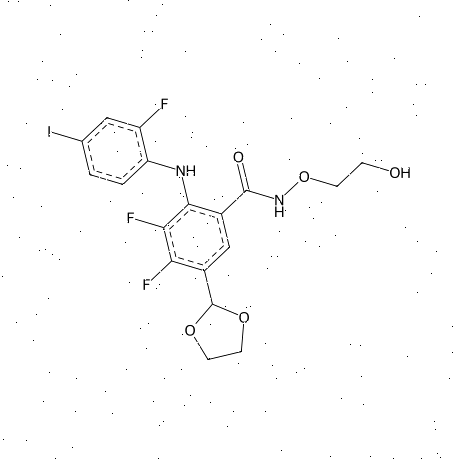 O=C(NOCCO)c1cc(C2OCCO2)c(F)c(F)c1Nc1ccc(I)cc1F